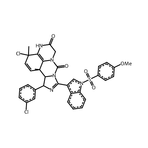 COc1ccc(S(=O)(=O)n2cc(C3=NC(c4cccc(Cl)c4)C4N3C(=O)N3CC(=O)NC5=C3C4(C)C=CC5(C)Cl)c3ccccc32)cc1